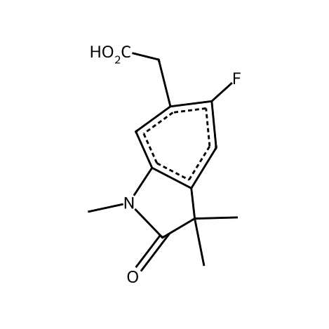 CN1C(=O)C(C)(C)c2cc(F)c(CC(=O)O)cc21